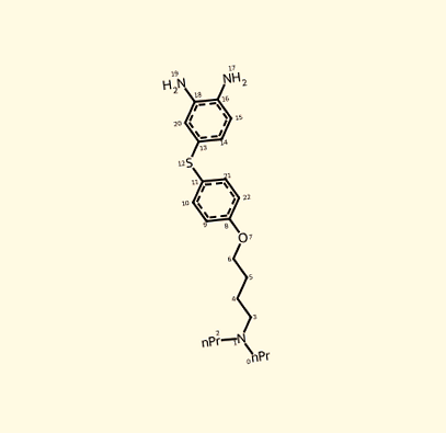 CCCN(CCC)CCCCOc1ccc(Sc2ccc(N)c(N)c2)cc1